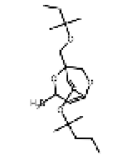 BC1C=C2OCC(COC(C)(C)CC)(C=C2OC(C)(C)CCC)O1